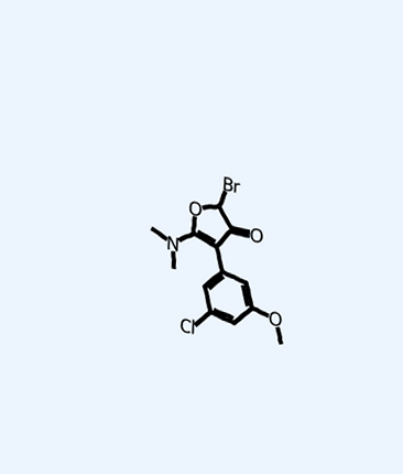 COc1cc(Cl)cc(C2=C(N(C)C)OC(Br)C2=O)c1